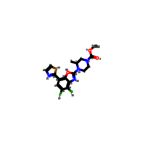 CC1CN(C(=O)OC(C)(C)C)CCN1c1nc2c(F)c(F)cc(-c3nccs3)c2o1